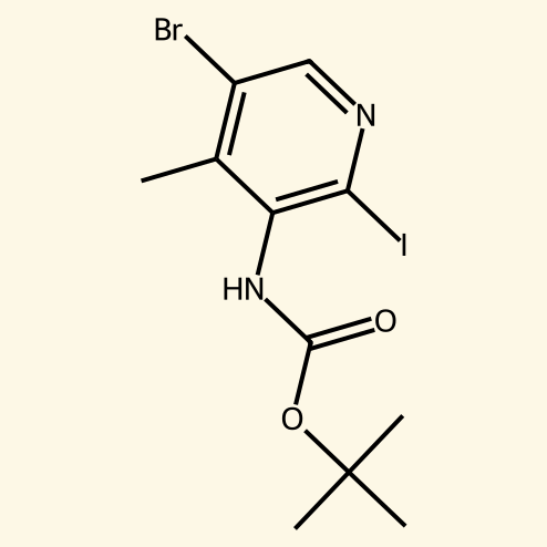 Cc1c(Br)cnc(I)c1NC(=O)OC(C)(C)C